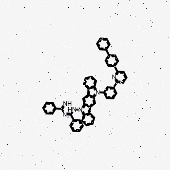 N=C(/N=C(\Nn1c2ccccc2c2cc3c(cc21)c1ccccc1n3-c1cccc(-c2cccc(-c3ccc(-c4ccccc4)cc3)n2)c1)c1ccccc1)c1ccccc1